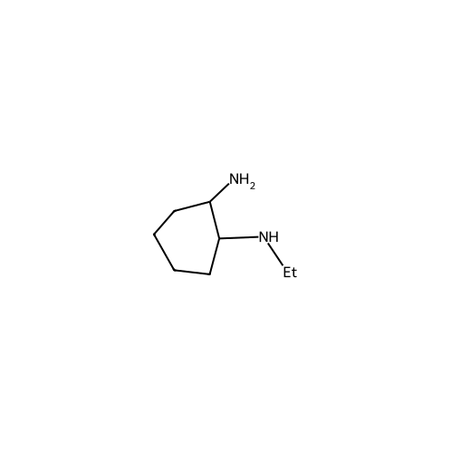 CCNC1CCCCC1N